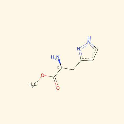 COC(=O)[C@@H](N)Cc1cc[nH]n1